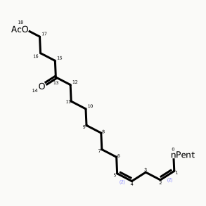 CCCCC/C=C\C/C=C\CCCCCCCC(=O)CCCOC(C)=O